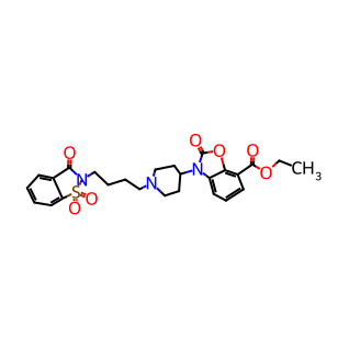 CCOC(=O)c1cccc2c1oc(=O)n2C1CCN(CCCCN2C(=O)c3ccccc3S2(=O)=O)CC1